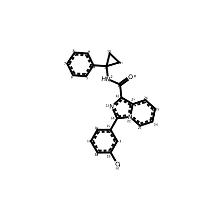 O=C(NC1(c2ccccc2)CC1)c1nc(-c2cccc(Cl)c2)n2ccccc12